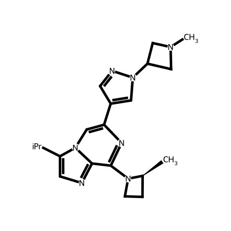 CC(C)c1cnc2c(N3CC[C@@H]3C)nc(-c3cnn(C4CN(C)C4)c3)cn12